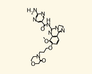 COc1c(OCCCN2CCOCC2=O)ccc2c1N=C(NC(=O)c1cnc(N)nc1)N1CCN=C21